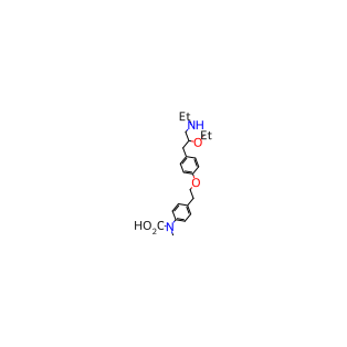 CCNCC(Cc1ccc(OCCc2ccc(N(C)C(=O)O)cc2)cc1)OCC